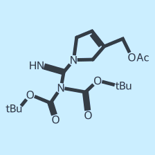 CC(=O)OCC1=CCN(C(=N)N(C(=O)OC(C)(C)C)C(=O)OC(C)(C)C)C1